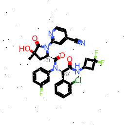 CC1(O)C[C@@H](C(=O)N(c2cccc(F)c2)[C@H](C(=O)NC2CC(F)(F)C2)c2ccccc2Cl)N(c2cc(C#N)ccn2)C1=O